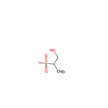 CS(=O)(=O)C(C=O)CO